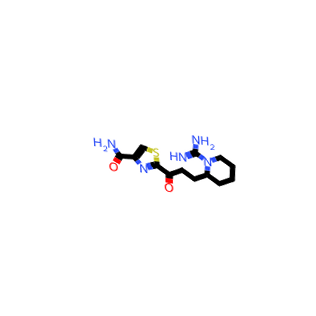 N=C(N)N1CCCCC1C[CH]C(=O)c1nc(C(N)=O)cs1